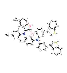 Cc1cc(C(C)(C)C)cc(C)c1N1c2cccc3c2B(c2ccc(-c4csc5ccccc45)cc2N3c2cccc(-c3csc4ccccc34)c2)c2oc3ccc(C(C)(C)C)cc3c21